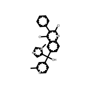 Cc1cc(C(O)(c2ccc3nc(Cl)c(-c4ccccc4)c(Cl)c3c2)c2cncn2C)ccn1